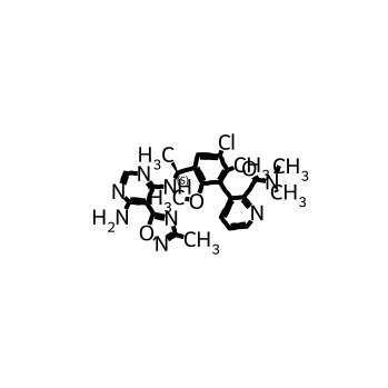 COc1c([C@H](C)Nc2ncnc(N)c2-c2nc(C)no2)cc(Cl)c(C)c1-c1cccnc1C(=O)N(C)C